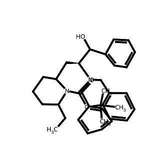 CCC1CCCC(C[C@@H](C(O)c2ccccc2)N(Cc2ccccc2)Cc2ccccc2)N1C(=O)OC(C)(C)C